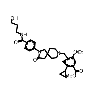 CCOc1cc(C(=O)OC)c(C2CC2)cc1CN1CCC2(CC1)CC(=O)N(c1ccc(C(=O)NCCCO)cc1)C2